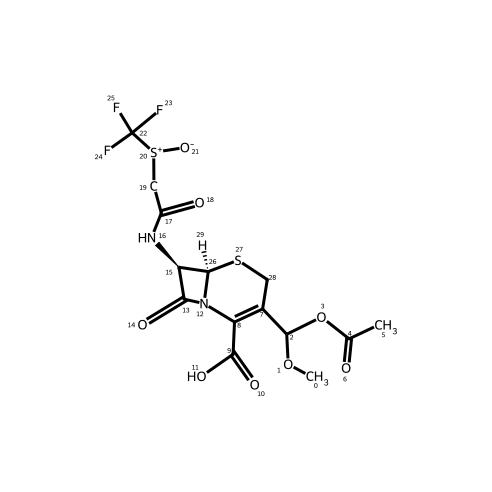 COC(OC(C)=O)C1=C(C(=O)O)N2C(=O)[C@@H](NC(=O)C[S+]([O-])C(F)(F)F)[C@H]2SC1